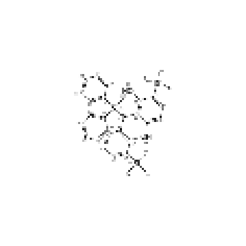 C[Si](C)(C)c1cccc(P(c2cccc([Si](C)(C)C)c2O)[Si](C)(c2ccccc2)c2ccccc2)c1O